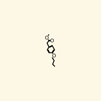 CCCCOc1ccc(CC(=O)OC)cc1